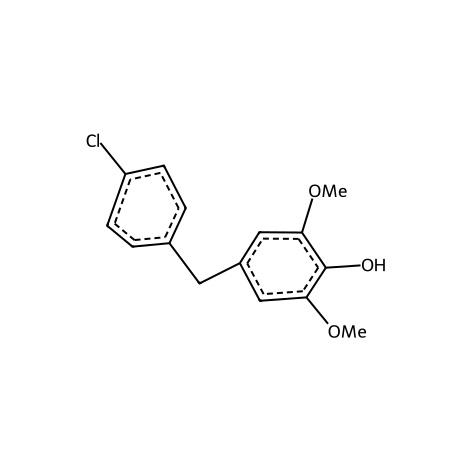 COc1cc(Cc2ccc(Cl)cc2)cc(OC)c1O